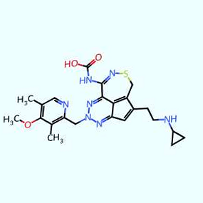 COc1c(C)cnc(Cn2nc3cc(CCNC4CC4)c4c-3c(n2)C(NC(=O)O)=NSC4)c1C